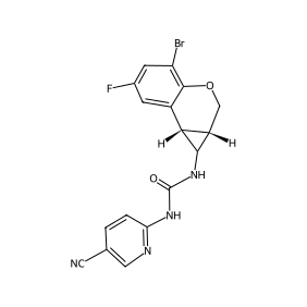 N#Cc1ccc(NC(=O)NC2[C@H]3COc4c(Br)cc(F)cc4[C@@H]23)nc1